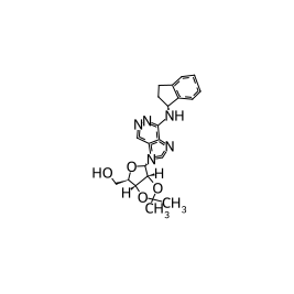 CC1(C)O[C@@H]2[C@H](O1)[C@@H](CO)O[C@H]2n1cnc2c(N[C@H]3CCc4ccccc43)nncc21